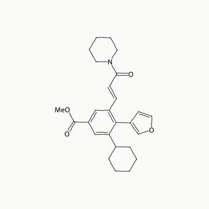 COC(=O)c1cc(/C=C/C(=O)N2CCCCC2)c(-c2ccoc2)c(C2CCCCC2)c1